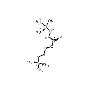 C[Si](C)(C)CCOO[PH](=O)OO[Si](C)(C)C